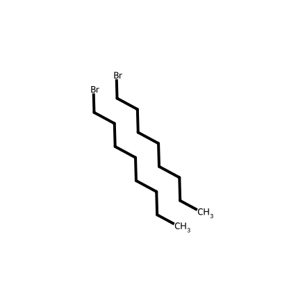 CCCCCCCCBr.CCCCCCCCBr